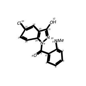 CNc1ccccc1C(=O)n1nc(O)c2cc(Cl)ccc21